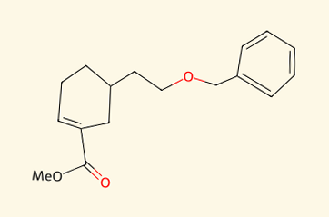 COC(=O)C1=CCCC(CCOCc2ccccc2)C1